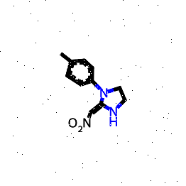 Cc1ccc(N2CCNC2=C[N+](=O)[O-])cc1